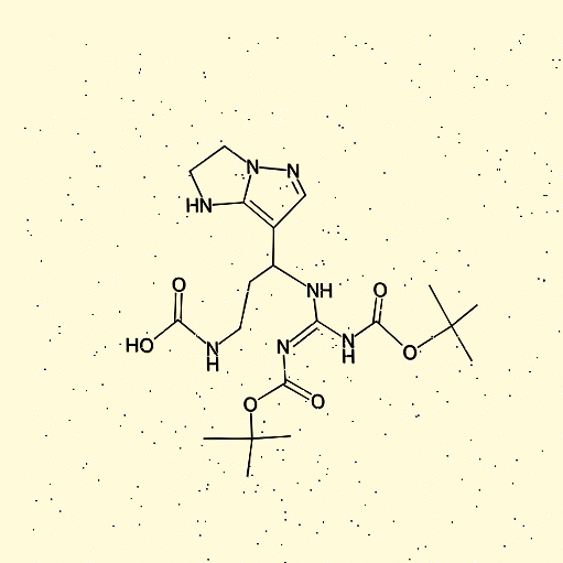 CC(C)(C)OC(=O)N=C(NC(=O)OC(C)(C)C)NC(CCNC(=O)O)c1cnn2c1NCC2